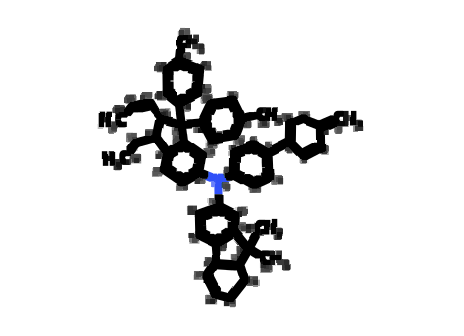 C=C1C=CC(c2ccc(N(c3ccc4c(c3)C(C)(C)C3=C4C=CCC3)c3ccc4c(c3)C(c3ccc(C)cc3)(c3ccc(C)cc3)[C@H](/C=C\C)C4CC)cc2)=CC1